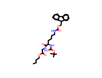 CCCCOC(=O)CNC(=O)C(CCCCNC(=O)OCC1c2ccccc2-c2ccccc21)NC(=O)OC(C)(C)C